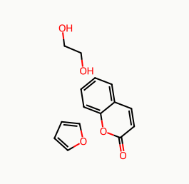 O=c1ccc2ccccc2o1.OCCO.c1ccoc1